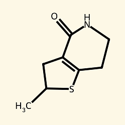 CC1CC2=C(CCNC2=O)S1